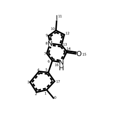 Cc1cccc(-c2cn3cc(I)cc3c(=O)[nH]2)c1